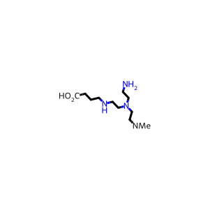 CNCCN(CCN)CCNCCCC(=O)O